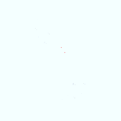 O=C(O)N1CCC[C@H]1c1ncc(-c2ccc(-c3ccc(-c4cnc([C@@H]5CCCN5C(=O)O)[nH]4)c(Cc4ccccc4)c3Cc3ccccc3)cc2)[nH]1